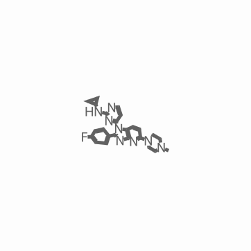 CN1CCN(c2ccc3c(n2)nc(-c2ccc(F)cc2)n3-c2ccnc(NC3CC3)n2)CC1